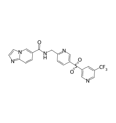 O=C(NCc1ccc(S(=O)(=O)c2cncc(C(F)(F)F)c2)cn1)c1ccc2nccn2c1